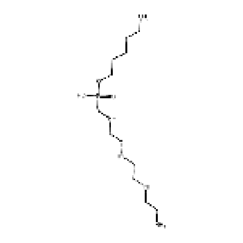 CCCCCCOP(=O)(O)ONCCNCCNCCN